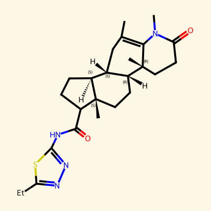 CCc1nnc(NC(=O)C2CC[C@H]3[C@@H]4CC(C)=C5N(C)C(=O)CC[C@]5(C)[C@@H]4CC[C@]23C)s1